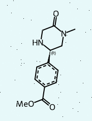 COC(=O)c1ccc([C@@H]2CN(C)C(=O)CN2)cc1